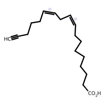 C#CCCC/C=C\C/C=C\CCCCCCCC(=O)O